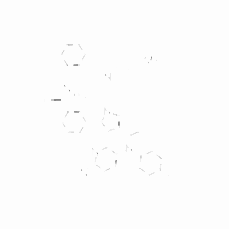 COCCN(C)CCn1c(-c2cc(C(=O)N3Cc4ccccc4C[C@H]3C)ccc2F)cc(C(=O)N(c2ccc(O)cc2)c2cnc3c(c2)CCN3C)c1C